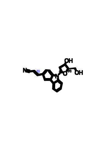 N#C/C=C/c1ccc2c(c1)c1ccccc1n2[C@H]1CC(O)[C@@H](CO)O1